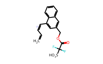 C=C/C=C\c1cc(COC(=O)C(F)(F)S(=O)(=O)O)cc2ccccc12